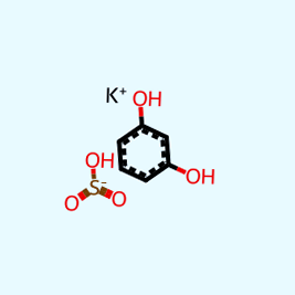 O=[S-](=O)O.Oc1cccc(O)c1.[K+]